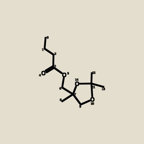 CCCC(=O)OCC1(C)COC(C)(C)O1